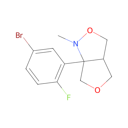 CN1OCC2COCC21c1cc(Br)ccc1F